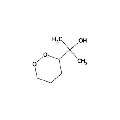 CC(C)(O)C1CCCOO1